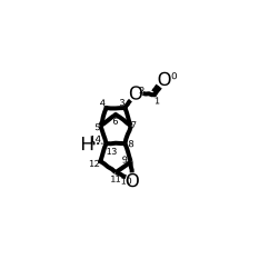 O=COC1CC2CC1C1C3OC3C[C@@H]21